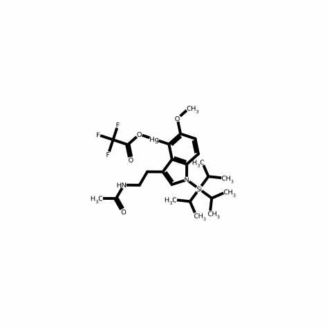 COc1ccc2c(c(CCNC(C)=O)cn2[Si](C(C)C)(C(C)C)C(C)C)[c]1[Hg][O]C(=O)C(F)(F)F